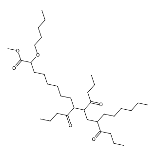 CCCCCCC(CC(C(=O)CCC)C(CCCCCCC(OCCCCC)C(=O)OC)C(=O)CCC)C(=O)CCC